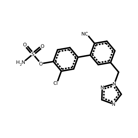 N#Cc1ccc(Cn2cncn2)cc1-c1ccc(OS(N)(=O)=O)c(Cl)c1